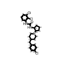 O=C(Nc1cccc(Cl)c1Cl)NC1CCCC1N1CCC(Cc2ccc(Cl)cc2)CC1